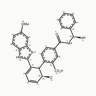 CCC[C@@H](NC(=O)c1ccc(C2C(c3nc4cc(OC)ccc4[nH]3)=CC=C[C@@H]2Cl)c(C(=O)O)c1)c1ccccc1